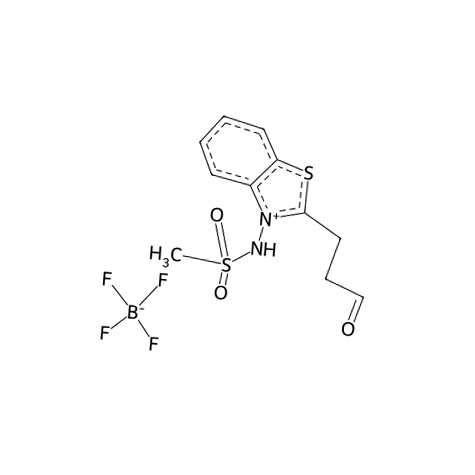 CS(=O)(=O)N[n+]1c(CCC=O)sc2ccccc21.F[B-](F)(F)F